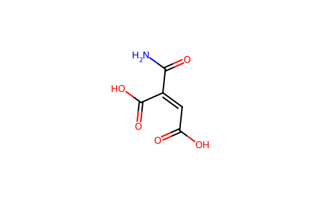 NC(=O)C(=CC(=O)O)C(=O)O